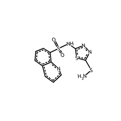 NSc1nnc(NS(=O)(=O)c2cccc3cccnc23)s1